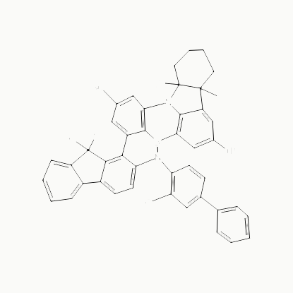 Cc1cc(-c2ccccc2)ccc1N1B2c3cc(C(C)(C)C)cc4c3N(c3cc(C(C)(C)C)cc(c32)-c2c1ccc1c2C(C)(C)c2ccccc2-1)C1(C)CCCCC41C